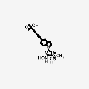 C[C@@](CCn1ccc2cc(C#CC#CC3(O)COC3)ccc21)(C(=O)NO)S(C)(=O)=O